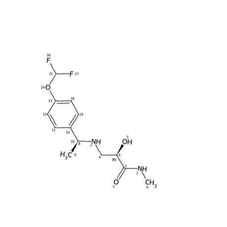 CNC(=O)[C@H](O)CN[C@@H](C)c1ccc(OC(F)F)cc1